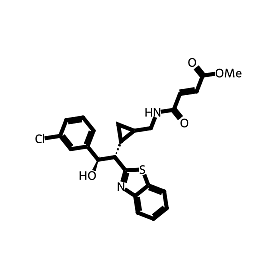 COC(=O)/C=C/C(=O)NCC1CC1[C@H](c1nc2ccccc2s1)[C@@H](O)c1cccc(Cl)c1